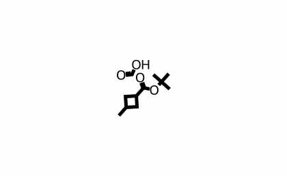 CC1CC(C(=O)OC(C)(C)C)C1.O=CO